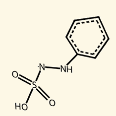 O=S(=O)(O)[N]Nc1ccccc1